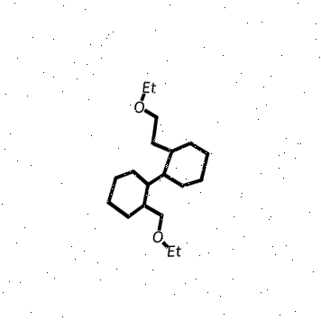 CCOCCC1CCCCC1C1CCCCC1COCC